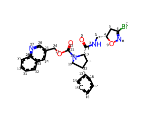 O=C(NC[C@@H]1CC(Br)=NO1)[C@@H]1C[C@H](c2ccccc2)CN1C(=O)OCc1cnc2ccccc2c1